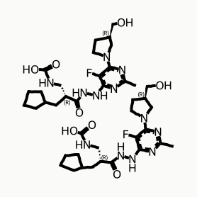 Cc1nc(NNC(=O)[C@@H](CNC(=O)O)CC2CCCC2)c(F)c(N2CC[C@@H](CO)C2)n1.Cc1nc(NNC(=O)[C@@H](CNC(=O)O)CC2CCCC2)c(F)c(N2CC[C@@H](CO)C2)n1